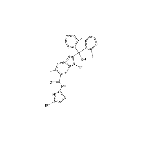 CCc1c(C(O)(c2ccccc2F)c2ccccc2F)nn2cc(C)c(C(=O)Nc3ncn(CC)n3)cc12